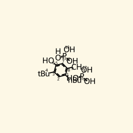 CCCCc1cc(C(C)(C)C)c(O)cc1C.OP(O)O.OP(O)O